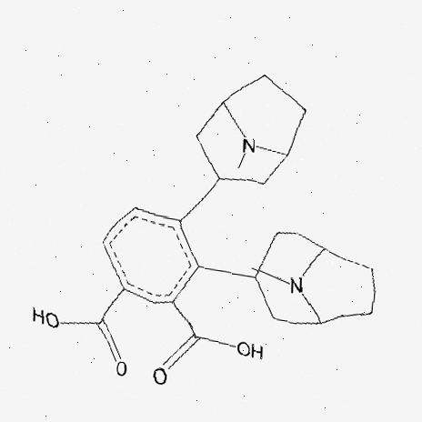 CN1C2CCC1CC(c1ccc(C(=O)O)c(C(=O)O)c1C1CC3CCC(C1)N3C)C2